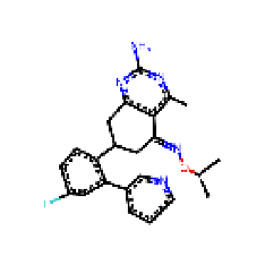 [CH2][C@H](C)O/N=C1\CC(c2ccc(F)cc2-c2cccnc2)Cc2nc(N)nc(C)c21